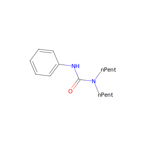 CCCCCN(CCCCC)C(=O)Nc1ccccc1